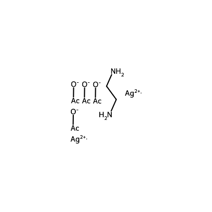 CC(=O)[O-].CC(=O)[O-].CC(=O)[O-].CC(=O)[O-].NCCN.[Ag+2].[Ag+2]